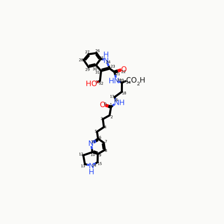 O=C(CCCCc1ccc2c(n1)CCNC2)NCCC(NC(=O)c1[nH]c2ccccc2c1CO)C(=O)O